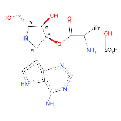 CC(C)C(N)C(=O)O[C@@H]1[C@H](O)[C@@H](CO)N[C@H]1c1c[nH]c2c(N)ncnc12.O=S(=O)(O)O